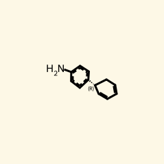 Nc1ccc([C@H]2C=CC=CC2)cc1